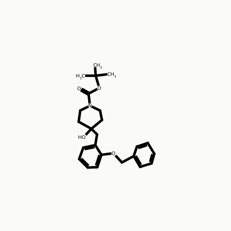 CC(C)(C)OC(=O)N1CCC(O)(Cc2ccccc2OCc2ccccc2)CC1